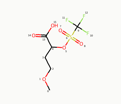 COCCC(OS(=O)(=O)C(F)(F)F)C(=O)O